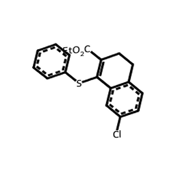 CCOC(=O)C1=C(Sc2ccccc2)c2cc(Cl)ccc2CC1